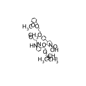 COCCCc1nc2c(C(COCC[Si](C)(C)C)OC3CN(C(=O)O)CCC3c3ccc(OCCCOCc4ccccc4OC)cc3)cccc2[nH]1